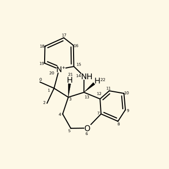 CC1(C)[C@H]2CCOc3ccccc3[C@H]2Nc2cccc[n+]21